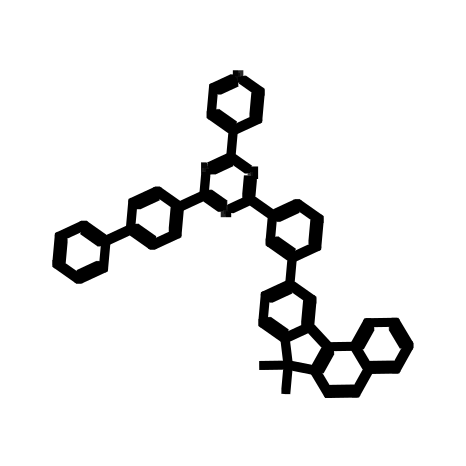 CC1(C)c2ccc(-c3cccc(-c4nc(-c5ccncc5)nc(-c5ccc(-c6ccccc6)cc5)n4)c3)cc2-c2c1ccc1ccccc21